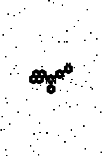 c1ccc(-c2nc(-c3ccc(-c4cccnc4)cc3)cc(-c3ccc4ccc5cccc6ccc3c4c56)n2)cc1